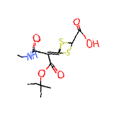 CNC(=O)C(C(=O)OC(C)(C)C)=C1SC(C(=O)O)S1